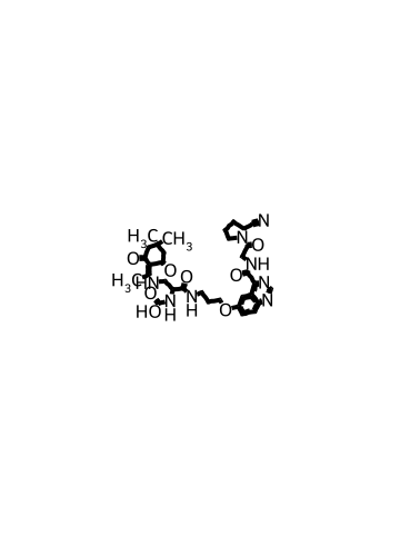 CC(NCC(NC(=O)O)C(=O)NCCCOc1ccc2ncnc(C(=O)NCC(=O)N3CCCC3C#N)c2c1)=C1C(=O)CC(C)(C)CC1=O